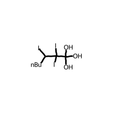 CCCCC(I)C(I)(I)C(O)(O)O